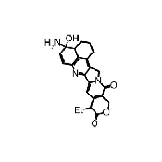 CCC1C(=O)OCc2c1cc1n(c2=O)Cc2c-1nc1c3c2CCCC3C(N)(O)C=C1